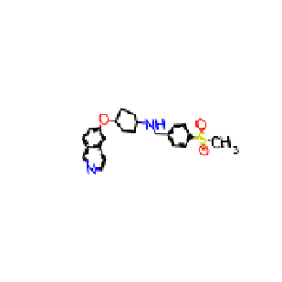 CS(=O)(=O)c1ccc(CNC2CCC(Oc3ccc4cnccc4c3)CC2)cc1